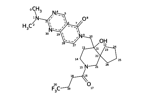 CN(C)c1ncc2c(=O)n(CC3(O)CCN(C(=O)CCC(F)(F)F)CC34CCCC4)ccc2n1